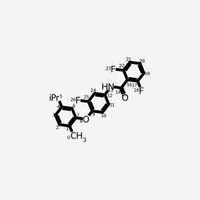 Cc1ccc(C(C)C)cc1Oc1ccc(NC(=O)c2c(F)cccc2F)cc1F